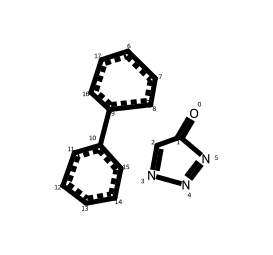 O=C1C=NN=N1.c1ccc(-c2ccccc2)cc1